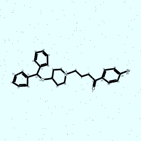 O=C(CCCN1CCC(OC(c2ccccc2)c2ccccc2)CC1)c1ccc(Br)cc1